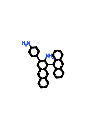 Nc1ccc(-c2cc3cc4ccccc4cc3c(-c3c4ccccc4cc4ccccc34)c2N)cc1